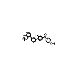 CC1(C)Cc2c(-c3cncc(-c4ccc(C(=O)N5CCC(O)CC5)cc4Cl)c3)ccnc2O1